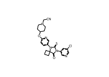 N#CCN1CCC(Oc2ccc(N3C(=S)N(c4cncc(Cl)c4)C(=O)C34CCC4)cn2)CC1